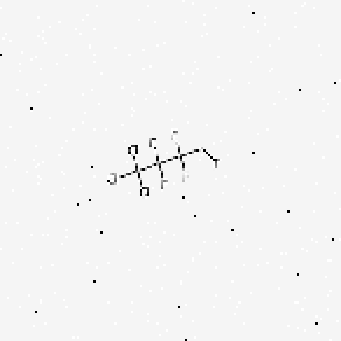 FCC(F)(F)C(F)(F)C(Cl)(Cl)Cl